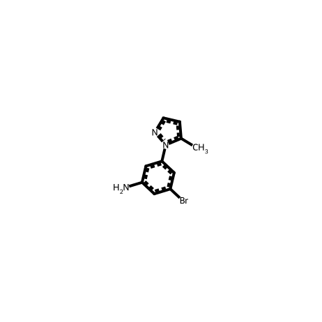 Cc1ccnn1-c1cc(N)cc(Br)c1